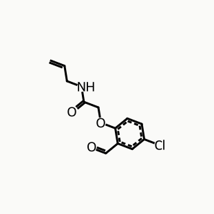 C=CCNC(=O)COc1ccc(Cl)cc1C=O